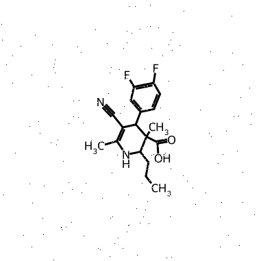 CCCC1NC(C)=C(C#N)C(c2ccc(F)c(F)c2)C1(C)C(=O)O